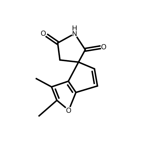 Cc1oc2c(c1C)C1(C=C2)CC(=O)NC1=O